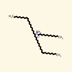 CCCCCCCC/C=C\CCCCCCCCCCC(CCCCCCCCC/C=C\CCCCCCCC)N(C)C(=O)CCCCCCCCCCCC